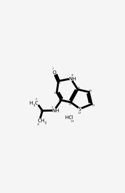 CC(C)Nc1cc(=O)[nH]c2ccsc12.Cl